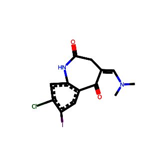 CN(C)C=C1CC(=O)Nc2cc(Cl)c(I)cc2C1=O